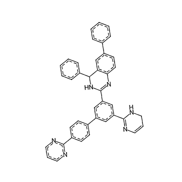 C1=CN=C(c2cc(C3=Nc4ccc(-c5ccccc5)cc4C(c4ccccc4)N3)cc(-c3ccc(-c4ncccn4)cc3)c2)NC1